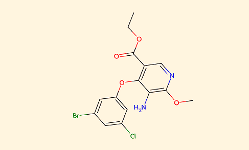 CCOC(=O)c1cnc(OC)c(N)c1Oc1cc(Cl)cc(Br)c1